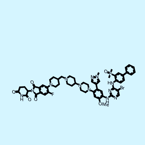 COc1cc(N2CCN(C3CCN(CC4CCN(c5cc6c(cc5F)C(=O)N(C5CCC(=O)NC5=O)C6=O)CC4)CC3)CC2)c(-c2cnn(C)c2)cc1Nc1ncc(Br)c(Nc2ccc(-c3ccccc3)cc2P(C)(C)=O)n1